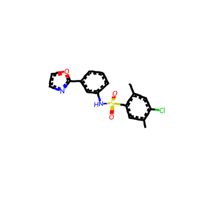 Cc1cc(S(=O)(=O)Nc2cccc(-c3ncco3)c2)c(C)cc1Cl